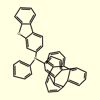 c1ccc(N(c2ccc3c(c2)-c2c4cccc2-c2cccc-3c2-c2ccccc2-4)c2ccc3c(c2)oc2ccccc23)cc1